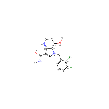 CNC(=O)c1cn(Cc2cccc(F)c2F)c2c(OC)ccnc12